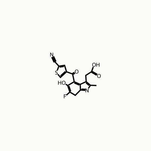 CC1=C(CC(=O)O)C2=C(C(=O)c3csc(C#N)c3)C(O)=C(F)CC2=N1